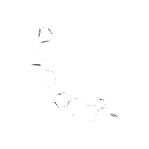 N#Cc1c(Br)nn(CCc2cc(N3CCN(C(=O)OCc4ccccc4)CC3)ccc2N)c1Br